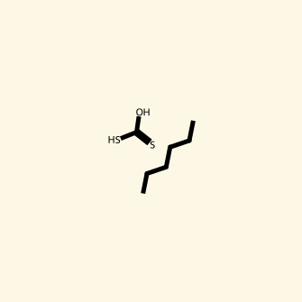 CCCCCC.OC(=S)S